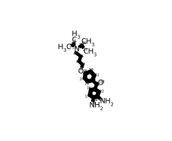 CC(C)N(CCCCOc1ccc(C(=O)c2ccc(N)c(N)c2)cc1)C(C)C